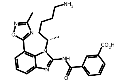 Cc1noc(-c2cccc3nc(NC(=O)c4cccc(C(=O)O)c4)n([C@@H](C)CCCCN)c23)n1